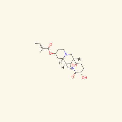 C/C=C(\C)C(=O)O[C@H]1CCN2C[C@@H]3[C@H](O)[C@@H](CN4C(=O)[C@@H](O)CC[C@H]34)[C@@H]2C1